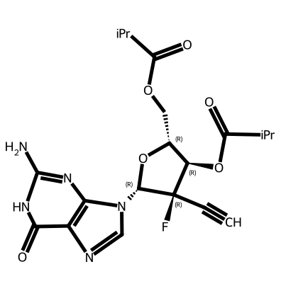 C#C[C@@]1(F)[C@H](OC(=O)C(C)C)[C@@H](COC(=O)C(C)C)O[C@H]1n1cnc2c(=O)[nH]c(N)nc21